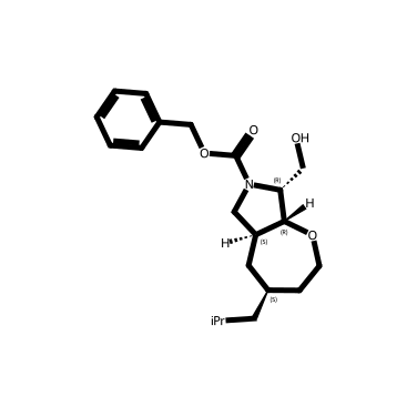 CC(C)C[C@@H]1CCO[C@@H]2[C@@H](C1)CN(C(=O)OCc1ccccc1)[C@@H]2CO